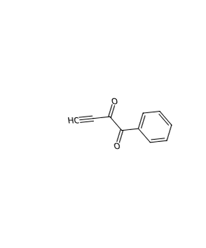 C#CC(=O)C(=O)c1ccccc1